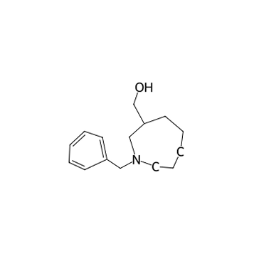 OCC1CCCCCN(Cc2ccccc2)C1